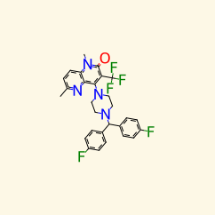 Cc1ccc2c(n1)c(N1CCN(C(c3ccc(F)cc3)c3ccc(F)cc3)CC1)c(C(F)(F)F)c(=O)n2C